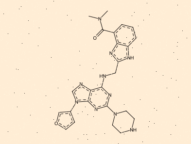 CN(C)C(=O)c1cccc2[nH]c(CNc3nc(N4CCNCC4)nc4c3ncn4-c3ccoc3)nc12